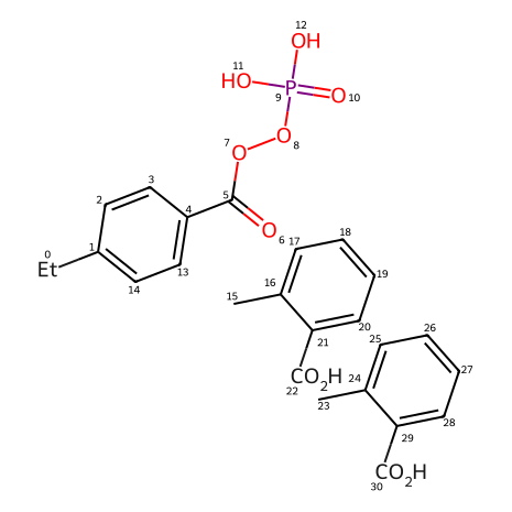 CCc1ccc(C(=O)OOP(=O)(O)O)cc1.Cc1ccccc1C(=O)O.Cc1ccccc1C(=O)O